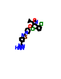 Clc1cccc(Cl)c1-c1noc(C2CC2)c1COC1CCN(c2nc3ccc(-c4nn[nH]n4)cc3s2)CC1